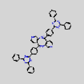 c1ccc(-c2nc(-c3ccccc3)nc(-c3ccc(/C4=N/c5cnccc5/C(c5ccc(-c6nc(-c7ccccc7)nc(-c7ccccc7)n6)cc5)=N\c5cnccc54)cc3)n2)cc1